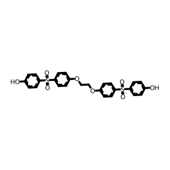 O=S(=O)(c1ccc(O)cc1)c1ccc(OCCOc2ccc(S(=O)(=O)c3ccc(O)cc3)cc2)cc1